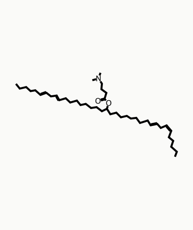 CCCCCC=CCC=CCCCCCCCCC(CCCCCCCCC=CC/C=C\CCCCC)OC(=O)CCCN(C)C